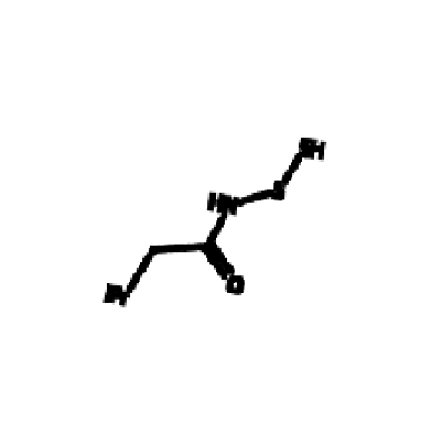 CC(C)CC(=O)NSS